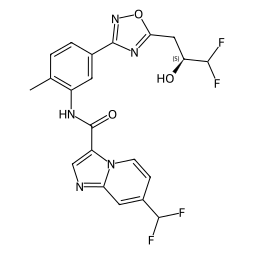 Cc1ccc(-c2noc(C[C@H](O)C(F)F)n2)cc1NC(=O)c1cnc2cc(C(F)F)ccn12